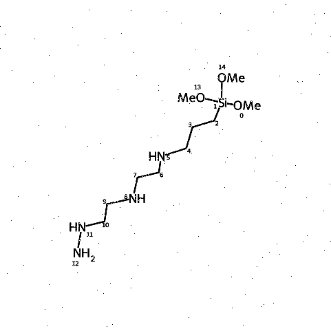 CO[Si](CCCNCCNCCNN)(OC)OC